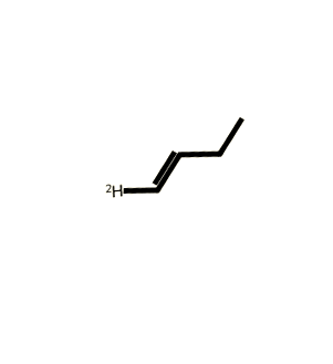 [2H]C=CCC